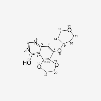 Oc1ncnc2cc(OC3CCOCC3)c3c(c12)OCCO3